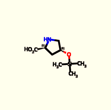 C[Si](C)(C)O[C@H]1CN[C@@H](C(=O)O)C1